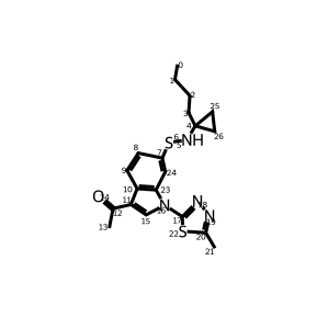 CCCCC1(NSc2ccc3c(C(C)=O)cn(-c4nnc(C)s4)c3c2)CC1